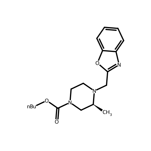 CCCCOC(=O)N1CCN(Cc2nc3ccccc3o2)[C@@H](C)C1